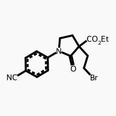 CCOC(=O)C1(CCBr)CCN(c2ccc(C#N)cc2)C1=O